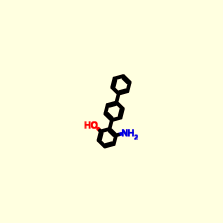 Nc1cccc(O)c1-c1ccc(-c2ccccc2)cc1